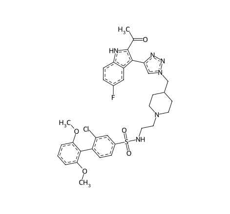 COc1cccc(OC)c1-c1ccc(S(=O)(=O)NCCN2CCC(Cn3cc(-c4c(C(C)=O)[nH]c5ccc(F)cc45)nn3)CC2)cc1Cl